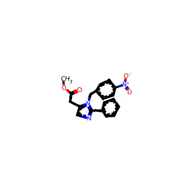 COC(=O)Cc1cnc(-c2ccccc2)n1Cc1ccc([N+](=O)[O-])cc1